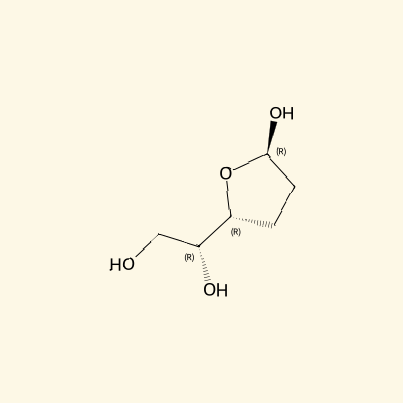 OC[C@@H](O)[C@H]1CC[C@H](O)O1